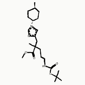 COC(=O)C(C)(CCCNC(=O)OC(C)(C)C)Cc1cn([C@H]2CC[C@H](C)CC2)cn1